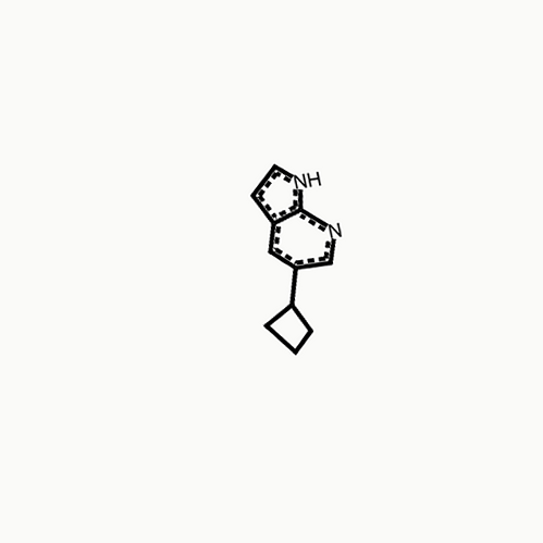 c1cc2cc(C3CCC3)cnc2[nH]1